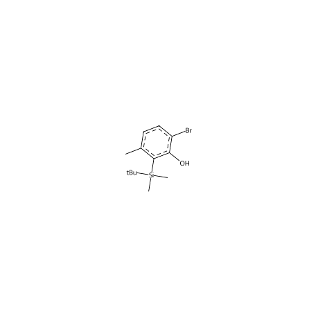 Cc1ccc(Br)c(O)c1[Si](C)(C)C(C)(C)C